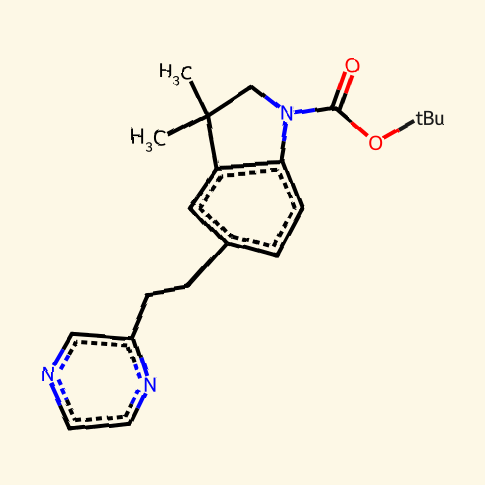 CC(C)(C)OC(=O)N1CC(C)(C)c2cc(CCc3cnccn3)ccc21